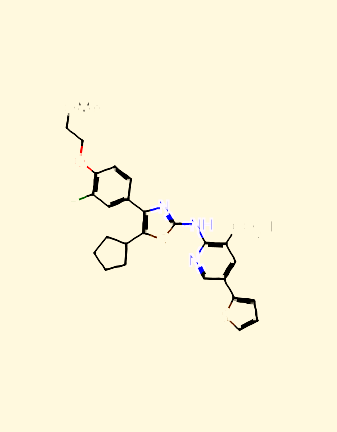 COCCOc1ccc(-c2nc(Nc3ncc(-c4cccs4)cc3C(=O)O)sc2C2CCCC2)cc1F